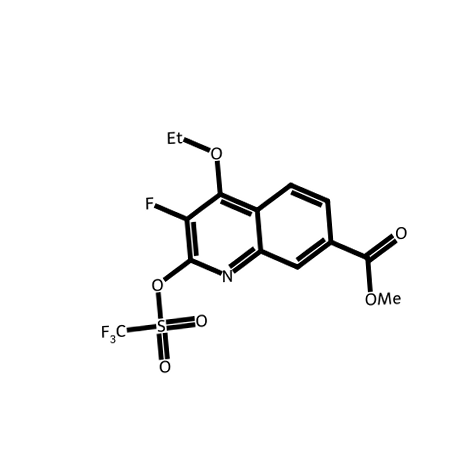 CCOc1c(F)c(OS(=O)(=O)C(F)(F)F)nc2cc(C(=O)OC)ccc12